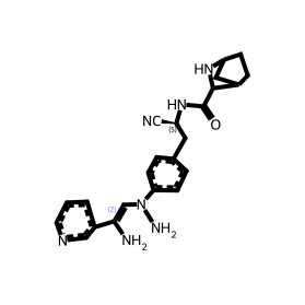 N#C[C@H](Cc1ccc(N(N)/C=C(\N)c2cccnc2)cc1)NC(=O)C1NC2CCC1C2